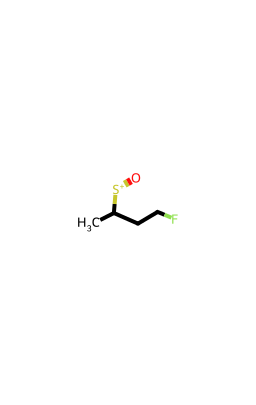 CC(CCF)[S+]=O